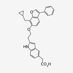 O=C(O)Cc1ccc2[nH]c(CCOc3ccc4c(-c5ccccc5)coc4c3CC3CC3)cc2c1